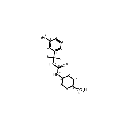 CC(C)c1cccc(C(C)(C)NC(=O)NC2CCC(C(=O)O)CC2)c1